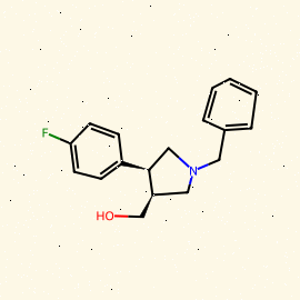 OC[C@@H]1CN(Cc2ccccc2)C[C@@H]1c1ccc(F)cc1